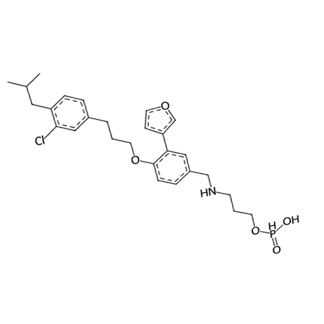 CC(C)Cc1ccc(CCCOc2ccc(CNCCCO[PH](=O)O)cc2-c2ccoc2)cc1Cl